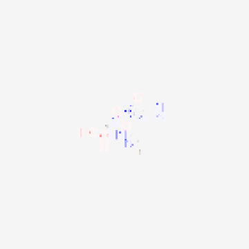 CC(=O)c1nn(CC(=O)N2C3C[C@]3(C(O)CO)C[C@H]2C(=O)Nc2nc(Br)ccc2C)c2cnc(-c3cnc(C)nc3)cc12